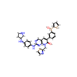 O=c1c(-c2cccc([S+]([O-])c3cccs3)c2)cc2cnc(Nc3ccc(NC4CCNC4)cc3)nc2n1Cc1nccs1